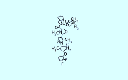 Cc1cc(Oc2cccc(F)c2F)cc(C)c1-n1ncc(C2COCC(C(=O)c3cc4ccccc4n3COCC[Si](C)(C)C)N2C)c1N